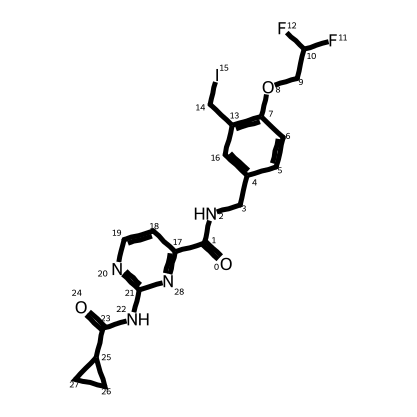 O=C(NCc1ccc(OCC(F)F)c(CI)c1)c1ccnc(NC(=O)C2CC2)n1